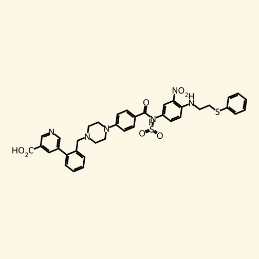 O=C(O)c1cncc(-c2ccccc2CN2CCN(c3ccc(C(=O)N(c4ccc(NCCSc5ccccc5)c([N+](=O)[O-])c4)[SH](=O)=O)cc3)CC2)c1